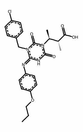 CCCOc1ccc(/N=c2\[nH]c(=O)n([C@@H](C)[C@@H](C)C(=O)O)c(=O)n2Cc2ccc(Cl)cc2)cc1